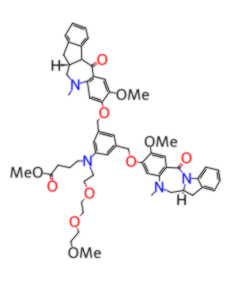 COCCOCCOCCN(CCCC(=O)OC)c1cc(COc2cc3c(cc2OC)C(=O)C2c4ccccc4C[C@H]2CN3C)cc(COc2cc3c(cc2OC)C(=O)N2c4ccccc4C[C@H]2CN3C)c1